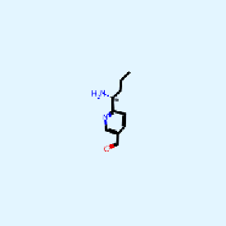 CCC[C@@H](N)c1ccc(C=O)cn1